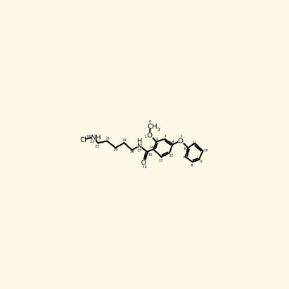 COc1cc(Oc2ccccc2)ccc1C(=O)NCCCCCNCl